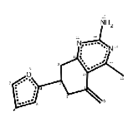 C=C1CC(c2ccco2)Cc2nc(N)nc(C)c21